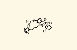 COc1ccc(S(=O)(=O)N[C@H]2[C@H]3CC[C@H](C3)[C@@H]2C/C=C\CCCc2nnn[nH]2)cc1